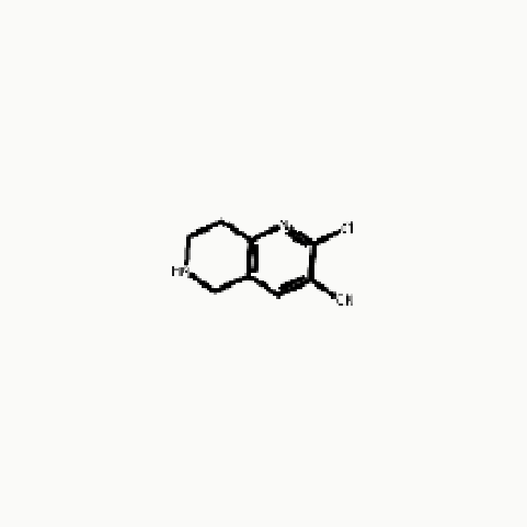 N#Cc1cc2c(nc1Cl)CCNC2